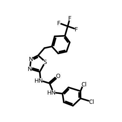 O=C(Nc1ccc(Cl)c(Cl)c1)Nc1nnc(Cc2cccc(C(F)(F)F)c2)s1